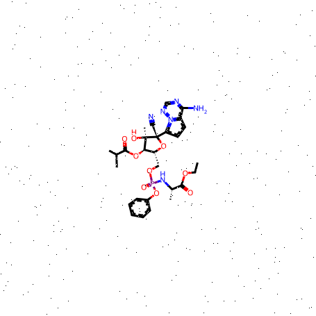 CCOC(=O)[C@H](C)NP(=O)(OC[C@H]1O[C@@](C#N)(c2ccc3c(N)ncnn23)[C@](C)(O)[C@@H]1OC(=O)C(C)C)Oc1ccccc1